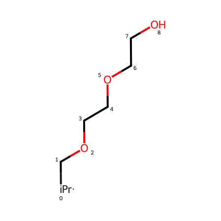 C[C](C)COCCOCCO